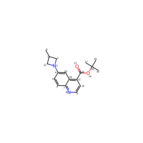 CC1CN(c2ccc3nccc(C(=O)OC(C)(C)C)c3c2)C1